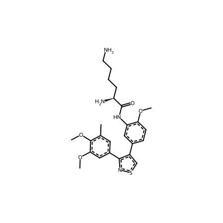 COc1ccc(-c2csnc2-c2cc(C)c(OC)c(OC)c2)cc1NC(=O)[C@@H](N)CCCCN